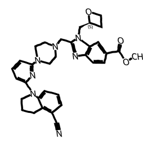 COC(=O)c1ccc2nc(CN3CCN(c4cccc(N5CCCc6c(C#N)cccc65)n4)CC3)n(C[C@@H]3CCO3)c2c1